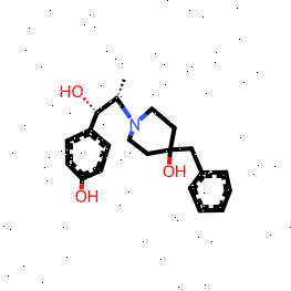 C[C@@H]([C@@H](O)c1ccc(O)cc1)N1CCC(O)(Cc2ccccc2)CC1